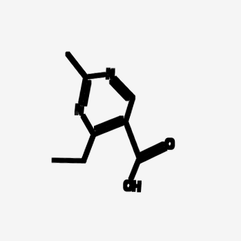 CCc1nc(C)ncc1C(=O)O